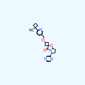 N#CC1(c2ccc(COC3CC4(C3)OC3CC[C@@H](c5cnccn5)N3C4=O)cn2)CCC1